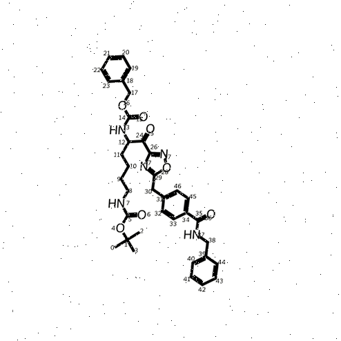 CC(C)(C)OC(=O)NCCCCC(NC(=O)OCc1ccccc1)C(=O)c1noc(Cc2ccc(C(=O)NCc3ccccc3)cc2)n1